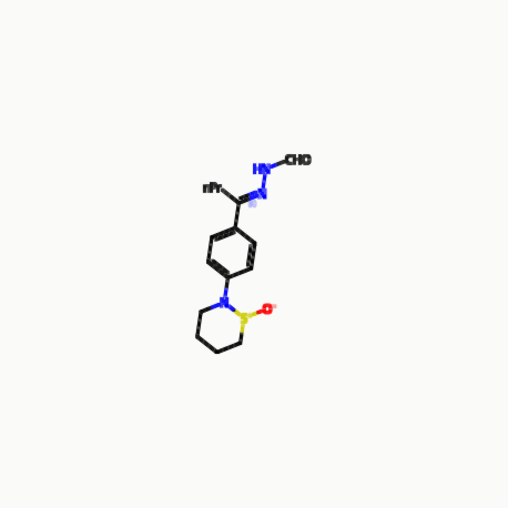 CCC/C(=N\NC=O)c1ccc(N2CCCC[S+]2[O-])cc1